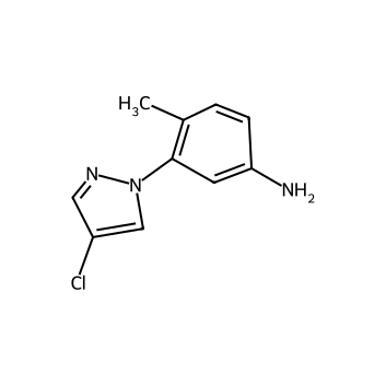 Cc1ccc(N)cc1-n1cc(Cl)cn1